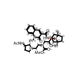 COC(=O)N(CCN1CCC(NC(C)=O)C1)CC(O)CN1[C@@H]2CC[C@H]1C[C@@H](NC(=O)c1cc3ccccc3n(C(C)C)c1=O)C2